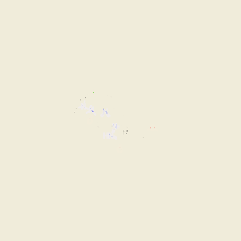 N#Cc1ccc(N2C[C@H]3CC[C@@H](C2)N3C(=O)c2cc(Cc3n[nH]c(=O)c4ccc(OC5CCC5)cc34)ccc2F)nc1